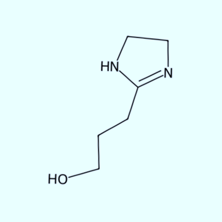 OCCCC1=NCCN1